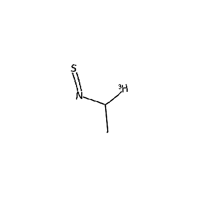 [3H]C(C)N=S